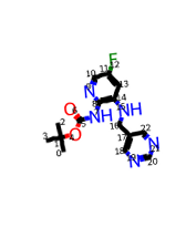 CC(C)(C)OC(=O)Nc1ncc(F)cc1NCc1cncnc1